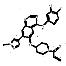 C=CC(=O)N1CCC(Oc2cc3c(Nc4ccc(F)c(Cl)c4)ncnc3cc2-c2cnn(C)c2)CC1